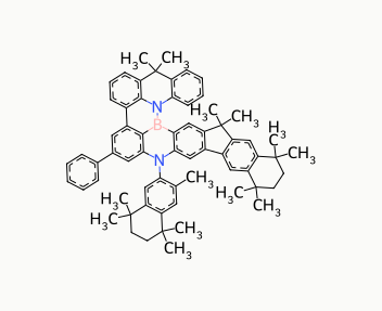 Cc1cc2c(cc1N1c3cc4c(cc3B3c5c(cc(-c6ccccc6)cc51)-c1cccc5c1N3c1ccccc1C5(C)C)C(C)(C)c1cc3c(cc1-4)C(C)(C)CCC3(C)C)C(C)(C)CCC2(C)C